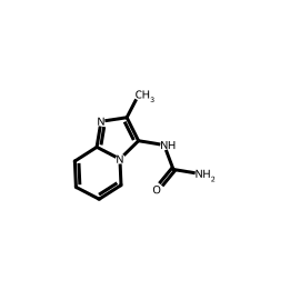 Cc1nc2ccccn2c1NC(N)=O